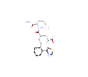 CNC(=O)C1CCCNN1C(=O)C(CCc1ccccc1-c1cscn1)CC(C)C(=O)O